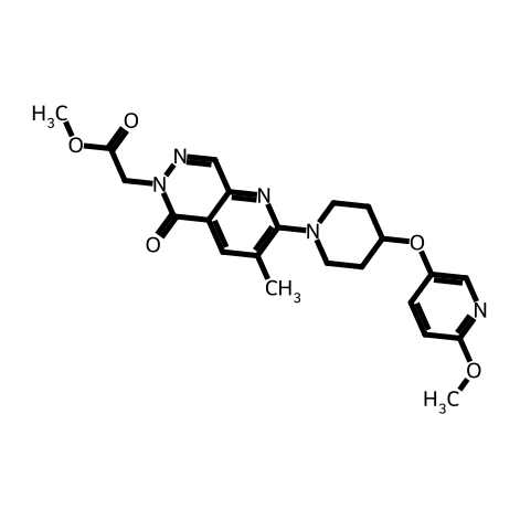 COC(=O)Cn1ncc2nc(N3CCC(Oc4ccc(OC)nc4)CC3)c(C)cc2c1=O